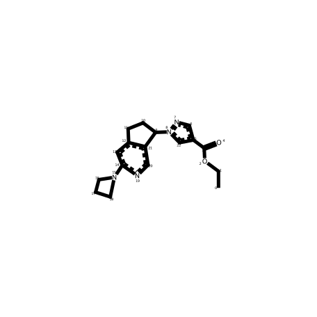 CCOC(=O)c1cnn(C2CCc3cc(N4CCC4)ncc32)c1